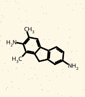 Cc1cc2c(c(C)c1N)Cc1cc(N)ccc1-2